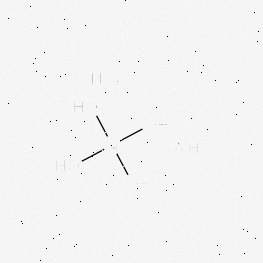 O[Si](O)(O)O.S.[AlH3]